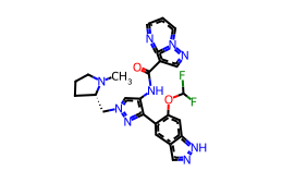 CN1CCC[C@H]1Cn1cc(NC(=O)c2cnn3cccnc23)c(-c2cc3cn[nH]c3cc2OC(F)F)n1